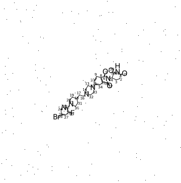 O=C1CCC(N2C(=O)c3ccc(N4CCN(CCC5CCN(c6ncc(Br)cc6F)CC5)CC4)cc3C2=O)C(=O)N1